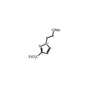 CCOC(=O)c1ccn(CCOC)n1